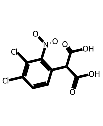 O=C(O)C(C(=O)O)c1ccc(Cl)c(Cl)c1[N+](=O)[O-]